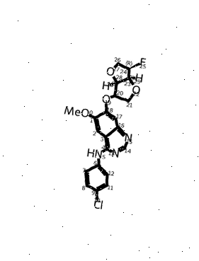 COc1cc2c(Nc3ccc(Cl)cc3)ncnc2cc1OC1CO[C@H]2[C@H](F)CO[C@@H]12